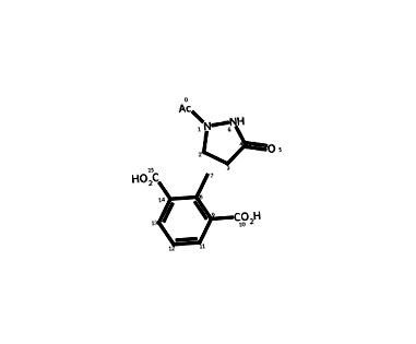 CC(=O)N1CCC(=O)N1.Cc1c(C(=O)O)cccc1C(=O)O